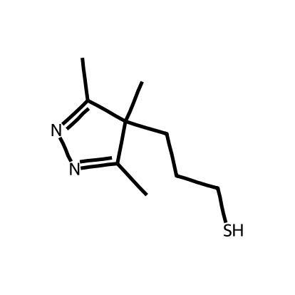 CC1=NN=C(C)C1(C)CCCS